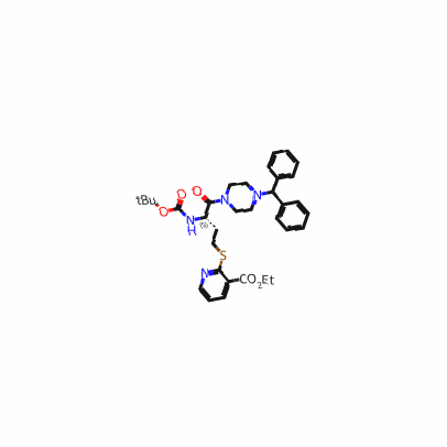 CCOC(=O)c1cccnc1SCC[C@H](NC(=O)OC(C)(C)C)C(=O)N1CCN(C(c2ccccc2)c2ccccc2)CC1